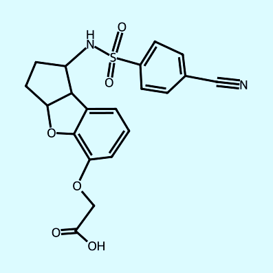 N#Cc1ccc(S(=O)(=O)NC2CCC3Oc4c(OCC(=O)O)cccc4C23)cc1